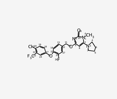 Cn1c(N2CCCC2)cc(OCc2ccc(Oc3ccc(Cl)c(C(F)(F)F)c3)c(F)c2)nc1=O